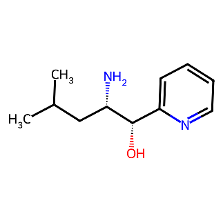 CC(C)C[C@H](N)[C@@H](O)c1ccccn1